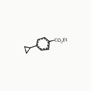 CCOC(=O)c1ccc(C2CC2)cc1